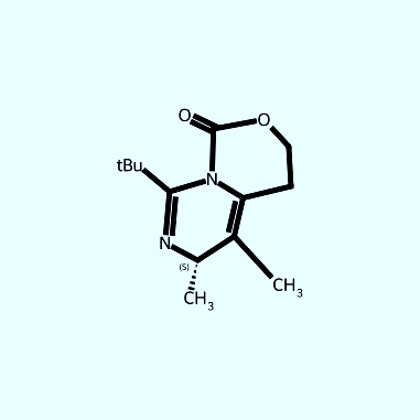 CC1=C2CCOC(=O)N2C(C(C)(C)C)=N[C@H]1C